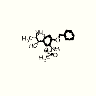 C[C@H](N)[C@H](O)c1ccc(OCc2ccccc2)c(NS(C)(=O)=O)c1